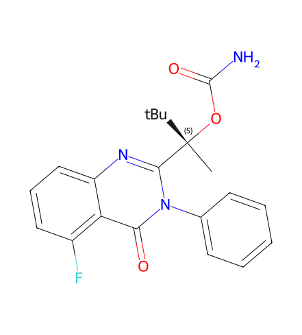 CC(C)(C)[C@](C)(OC(N)=O)c1nc2cccc(F)c2c(=O)n1-c1ccccc1